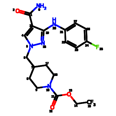 NC(=O)c1cn(CC2CCN(C(=O)OCC(F)(F)F)CC2)nc1Nc1ccc(F)cc1